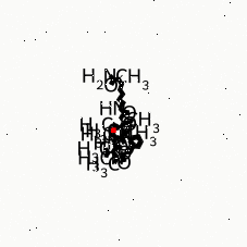 CC[C@H](C)[C@@H]([C@@H](CC(=O)NCCCCC[C@@H](C)C(N)=O)OC)N(C)C(=O)C(NC(=O)[C@H](C(C)C)N(C)C(=O)OCc1ccccc1)C(C)C